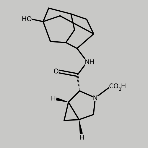 O=C(NC1C2CC3CC1CC(O)(C3)C2)[C@H]1[C@H]2C[C@H]2CN1C(=O)O